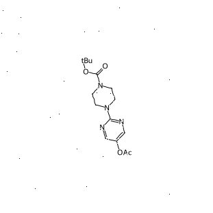 CC(=O)Oc1cnc(N2CCN(C(=O)OC(C)(C)C)CC2)nc1